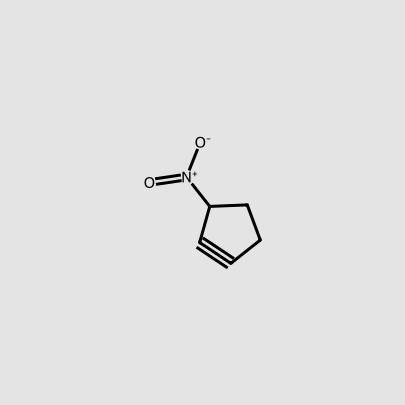 O=[N+]([O-])C1C#CCC1